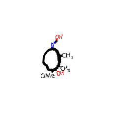 CO[C@H]1/C=C/CCCC/C(=N/CO)CC/C(C)=C\[C@@H](C)[C@@H]1O